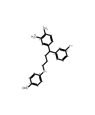 Cc1ccc(C(CCCOc2ccc(C=O)cc2)c2cccc(F)c2)cc1C